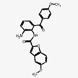 COc1ccc(C(=O)c2cccc(N)c2NC(=O)c2cc3cc(OC)ccc3o2)cc1